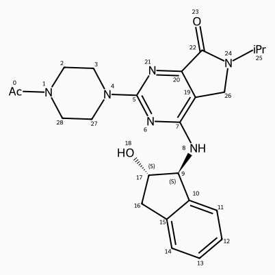 CC(=O)N1CCN(c2nc(N[C@H]3c4ccccc4C[C@@H]3O)c3c(n2)C(=O)N(C(C)C)C3)CC1